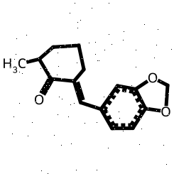 CC1CCCC(=Cc2ccc3c(c2)OCO3)C1=O